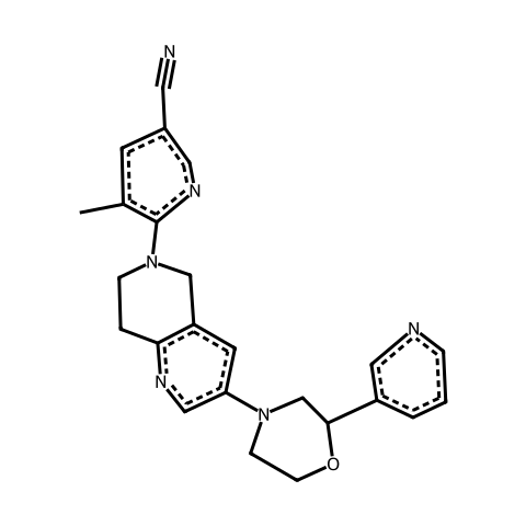 Cc1cc(C#N)cnc1N1CCc2ncc(N3CCOC(c4cccnc4)C3)cc2C1